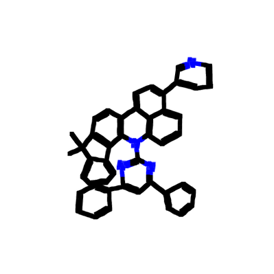 CC1(C)c2ccccc2-c2c1ccc1c2N(c2nc(-c3ccccc3)cc(-c3ccccc3)n2)c2cccc3c(-c4cccnc4)ccc-1c23